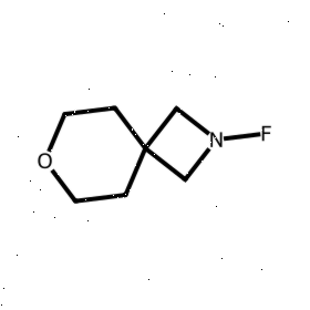 FN1CC2(CCOCC2)C1